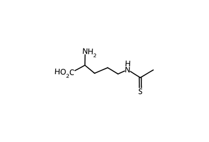 CC(=S)NCCCC(N)C(=O)O